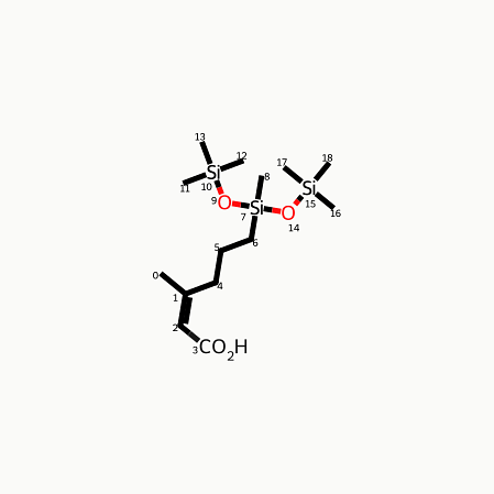 CC(=CC(=O)O)CCC[Si](C)(O[Si](C)(C)C)O[Si](C)(C)C